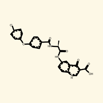 C[C@H](NC(=O)c1ccc(Oc2ccc(Cl)cc2)cc1)C(=O)Nc1ccc2[nH]cc(C(=O)O)c(=O)c2c1